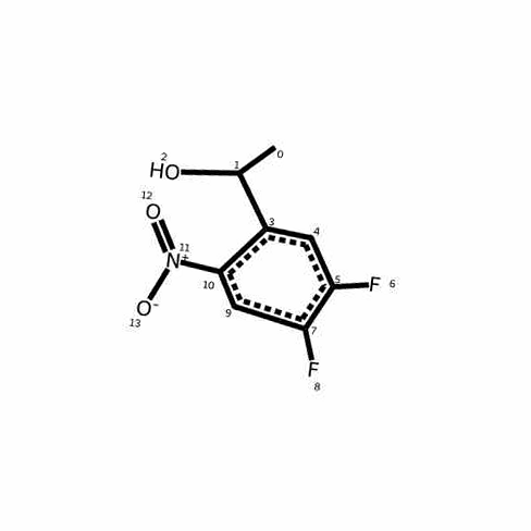 CC(O)c1cc(F)c(F)cc1[N+](=O)[O-]